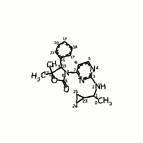 C[C@H](Nc1nccc(N2C(=O)OC(C)(C)C2c2ccccc2)n1)C1CC1